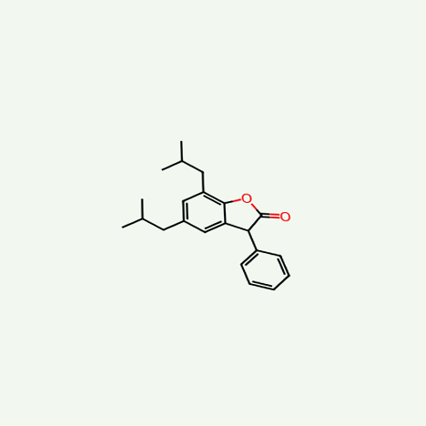 CC(C)Cc1cc(CC(C)C)c2c(c1)C(c1ccccc1)C(=O)O2